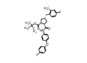 Cc1cc(F)ccc1C[C@@H]1C[C@@H](C(=O)Nc2ccc(Oc3ccc(F)cc3)cc2)N(C(=O)OC(C)(C)C)C1